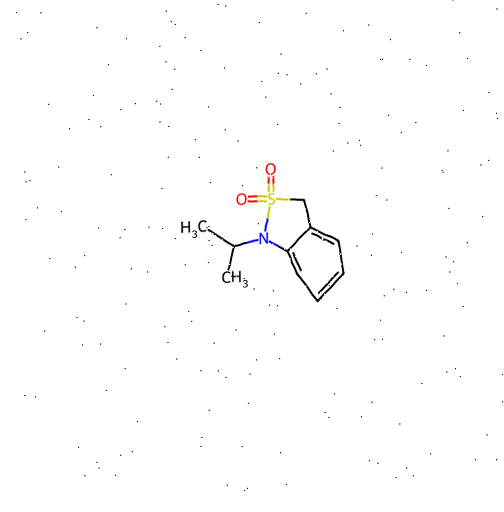 CC(C)N1c2ccccc2CS1(=O)=O